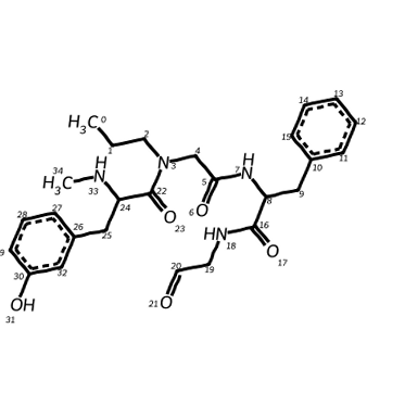 CCCN(CC(=O)NC(Cc1ccccc1)C(=O)NCC=O)C(=O)C(Cc1cccc(O)c1)NC